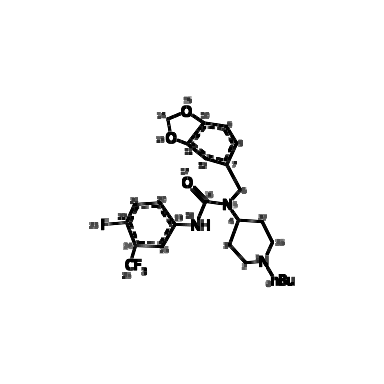 CCCCN1CCC(N(Cc2ccc3c(c2)OCO3)C(=O)Nc2ccc(F)c(C(F)(F)F)c2)CC1